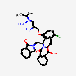 CC(C)N(N)/C=C(\N)COc1ccc(Cl)c2c1C(CN1Cc3ccccc3C1=O)N(C(=O)C1CCCCC1C(=O)O)CC2